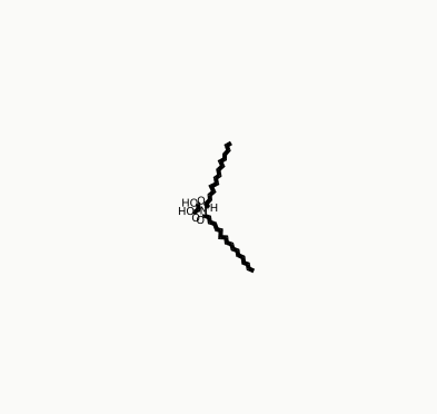 CCCCCCCCCCCCCCCCCC(=O)N(PC(=O)CCCCCCCCCCCCCCC)C(CO)C(=O)O